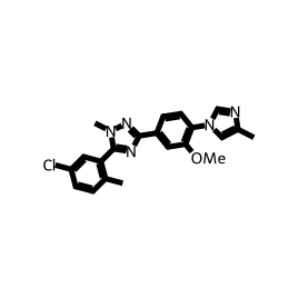 COc1cc(-c2nc(-c3cc(Cl)ccc3C)n(C)n2)ccc1-n1cnc(C)c1